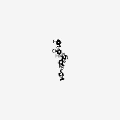 CC(C)N1CCC(CCn2cc3c(n2)CCc2c-3sc3ncnc(Nc4ccc(OCc5cccc(F)c5)c(Cl)c4)c23)CC1